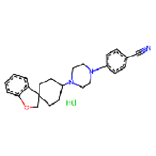 Cl.N#Cc1ccc(N2CCN(C3CCC4(CC3)COc3ccccc34)CC2)cc1